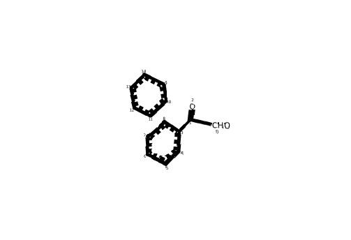 O=CC(=O)c1ccccc1.c1ccccc1